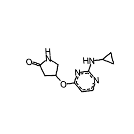 O=C1CC(Oc2ccnc(NC3CC3)n2)CN1